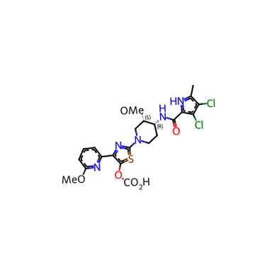 COc1cccc(-c2nc(N3CC[C@@H](NC(=O)c4[nH]c(C)c(Cl)c4Cl)[C@@H](OC)C3)sc2OC(=O)O)n1